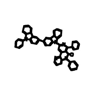 O=c1c2c(-c3ccccc3)nc(-n3c4ccccc4c4cc(-c5ccc6c(c5)c5ccccc5n6-c5ccccc5)ccc43)cc2c2ncccc2n1-c1ccccc1